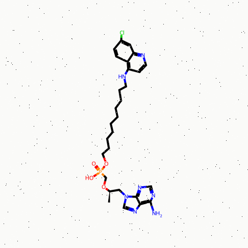 C[C@H](Cn1cnc2c(N)ncnc21)OCP(=O)(O)OCCCCCCCCCCNc1ccnc2cc(Cl)ccc12